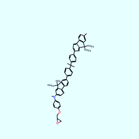 CCCCCCC1(CCCCCC)c2cc(C)ccc2-c2ccc(-c3ccc(C(C)(C)c4ccc(-c5ccc6c(c5)C(CCCCCC)(CCCCCC)c5cc(N(C)c7ccc(OCC8CO8)cc7)ccc5-6)cc4)cc3)cc21